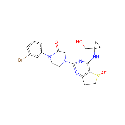 O=C1CN(c2nc3c(c(NC4(CO)CC4)n2)[S+]([O-])CC3)CCN1c1cccc(Br)c1